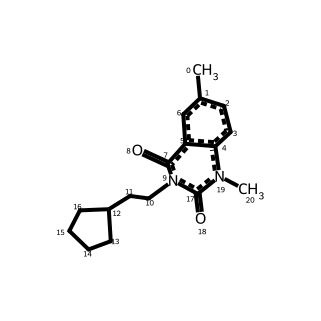 Cc1ccc2c(c1)c(=O)n(CCC1CCCC1)c(=O)n2C